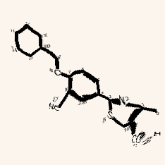 Cc1nc(-c2ccc(OCC3CCCCC3)c(C#N)c2)sc1C(=O)O